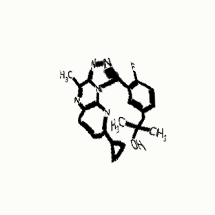 Cc1nc2ccc(C3CC3)nc2n2c(-c3cc(C(C)(C)O)ccc3F)nnc12